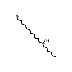 CCCCCC[C@@H](O)CC=CCCCCCCCCBr